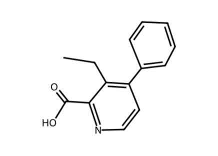 CCc1c(-c2ccccc2)ccnc1C(=O)O